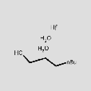 CCCCCCCO.O.O.[Hf]